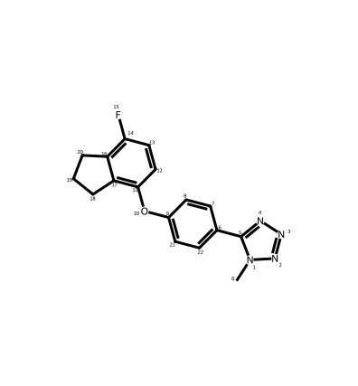 Cn1nnnc1-c1ccc(Oc2ccc(F)c3c2CCC3)cc1